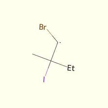 CCC(C)(I)[CH]Br